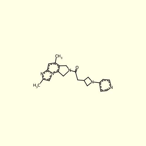 Cc1cn2c3c(c(C)cc2n1)CN(C(=O)CC1CN(c2ccncc2)C1)C3